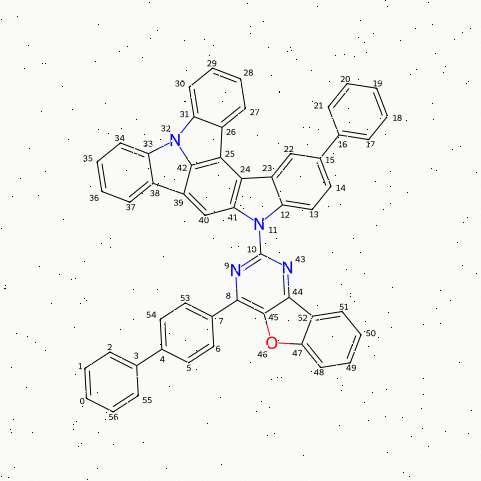 c1ccc(-c2ccc(-c3nc(-n4c5ccc(-c6ccccc6)cc5c5c6c7ccccc7n7c8ccccc8c(cc54)c67)nc4c3oc3ccccc34)cc2)cc1